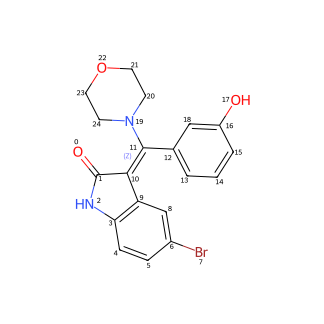 O=C1Nc2ccc(Br)cc2/C1=C(\c1cccc(O)c1)N1CCOCC1